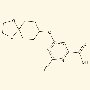 Cc1nc(OC2CCC3(CC2)OCCO3)cc(C(=O)O)n1